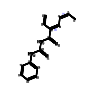 C=C/C(=C\C=C/C)C(=O)NC(=O)Nc1ccccc1